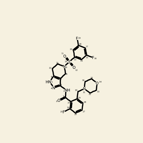 O=C(Nc1n[nH]c2c1CN(S(=O)(=O)c1cc(F)cc(F)c1)CC2)c1c(F)cccc1CN1CCOCC1